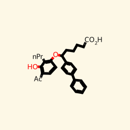 CCCc1c(OC(CCCCC(=O)O)c2ccc(-c3ccccc3)cc2)ccc(C(C)=O)c1O